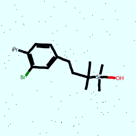 CC(C)c1ccc(CCC(C)(C)[Si](C)(C)O)cc1Br